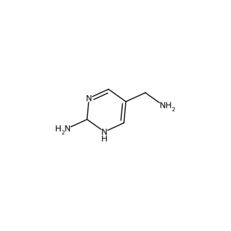 NCC1=CNC(N)N=C1